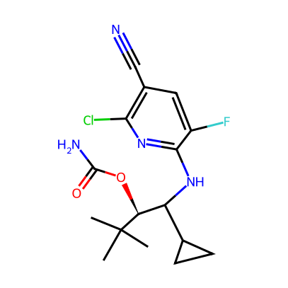 CC(C)(C)[C@@H](OC(N)=O)C(Nc1nc(Cl)c(C#N)cc1F)C1CC1